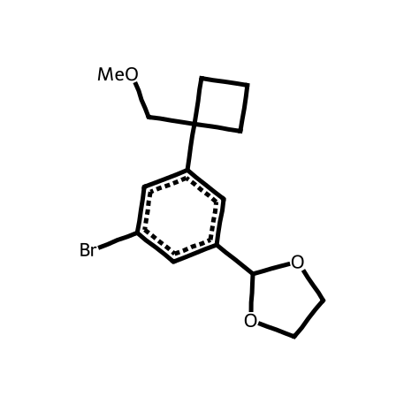 COCC1(c2cc(Br)cc(C3OCCO3)c2)CCC1